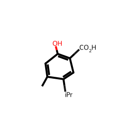 Cc1cc(O)c(C(=O)O)cc1C(C)C